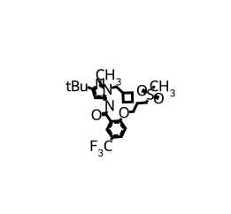 Cn1c(C(C)(C)C)cc(=NC(=O)c2cc(C(F)(F)F)ccc2OCCCS(C)(=O)=O)n1CC1CCC1